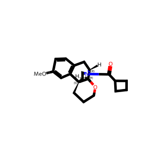 COc1ccc2c(c1)[C@@]13CCCO[C@@]1(C)[C@@H](C2)N(C(=O)C1CCC1)CC3